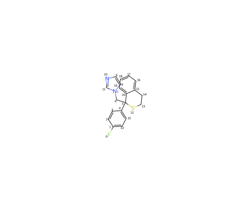 Fc1ccc(C2(Cn3ccnc3)SCCc3ccccc32)cc1